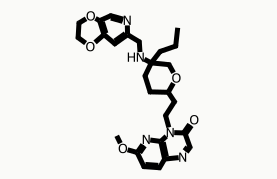 CCCC1(NCc2cc3c(cn2)OCCO3)CCC(CCn2c(=O)cnc3ccc(OC)nc32)OC1